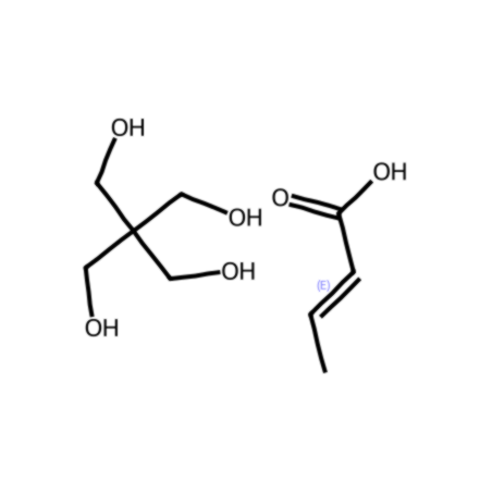 C/C=C/C(=O)O.OCC(CO)(CO)CO